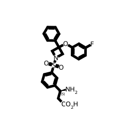 N[C@@H](CC(=O)O)c1cccc(S(=O)(=O)N2CC(Oc3cccc(F)c3)(c3ccccc3)C2)c1